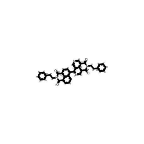 O=C1c2cccc3c(-c4ncc5c6c(cncc46)C(=O)N(CCc4ccccc4)C5=O)ccc(c23)C(=O)N1CCc1ccccc1